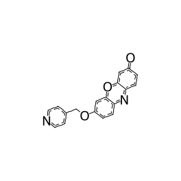 O=c1ccc2nc3ccc(OCc4ccncc4)cc3oc-2c1